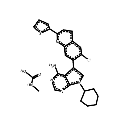 CNC(=O)O.Nc1ncnc2c1c(-c1cc3nc(-c4cccs4)ccc3cc1Cl)cn2C1CCCCC1